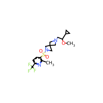 COC(CN1CC2(C1)CN(S(=O)(=O)c1ccc(C(F)(F)F)nc1C)C2)C1CC1